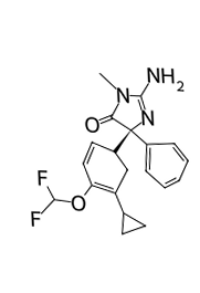 CN1C(=O)[C@](c2ccccc2)(C2C=CC(OC(F)F)=C(C3CC3)C2)N=C1N